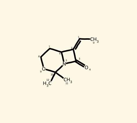 CC=C1C(=O)N2C1CCOC2(C)C